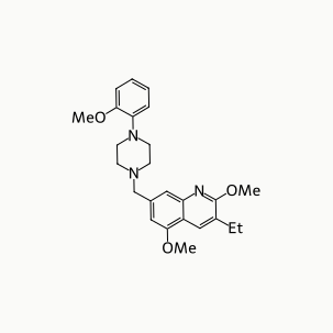 CCc1cc2c(OC)cc(CN3CCN(c4ccccc4OC)CC3)cc2nc1OC